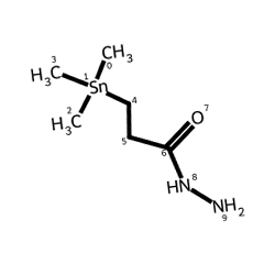 [CH3][Sn]([CH3])([CH3])[CH2]CC(=O)NN